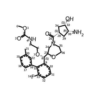 COC(=O)NCCO[C@@H](c1cccc(F)c1-c1cccc(C)c1)C1CN(C(=O)[C@H]2C[C@@H](N)[C@@H](O)C2)CCO1